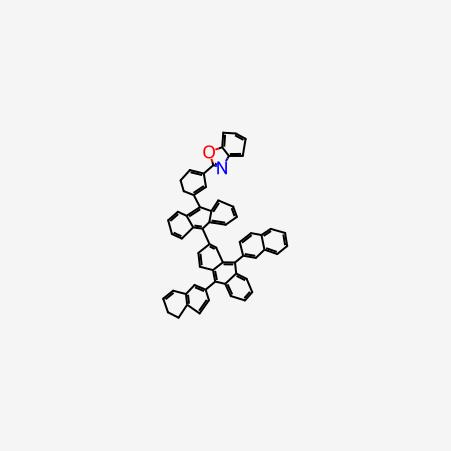 C1=Cc2cc(-c3c4ccccc4c(-c4ccc5ccccc5c4)c4cc(-c5c6ccccc6c(C6=CC(c7nc8ccccc8o7)=CCC6)c6ccccc56)ccc34)ccc2CC1